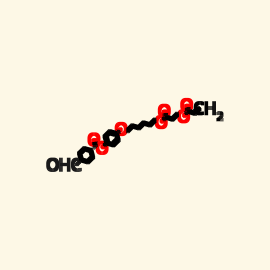 C=CC(=O)OCCC(=O)OCCCCCCOc1ccc(OC(=O)[C@H]2CC[C@H](C=O)CC2)cc1